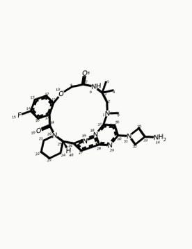 CN1CC(C)(C)NC(=O)COc2ccc(F)cc2C(=O)N2CCCC[C@H]2c2cc3nc(N4CC(N)C4)cc1n3n2